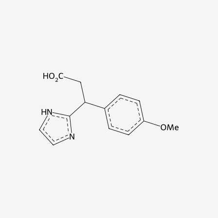 COc1ccc(C(CC(=O)O)c2ncc[nH]2)cc1